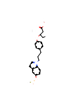 CC[C@](C)(CC(=O)OC)Oc1ccc(CCCn2ccc3cc(OS(C)(=O)=O)ccc32)cc1